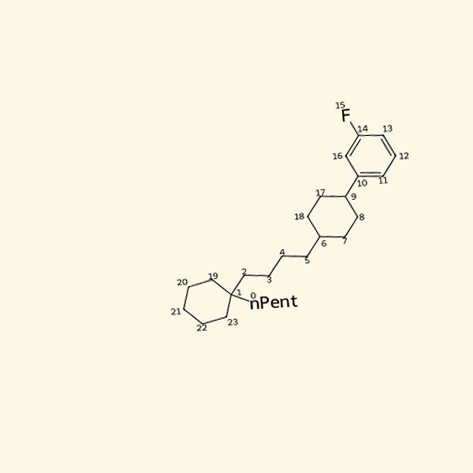 CCCCCC1(CCCCC2CCC(c3cccc(F)c3)CC2)CCCCC1